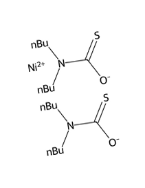 CCCCN(CCCC)C([O-])=S.CCCCN(CCCC)C([O-])=S.[Ni+2]